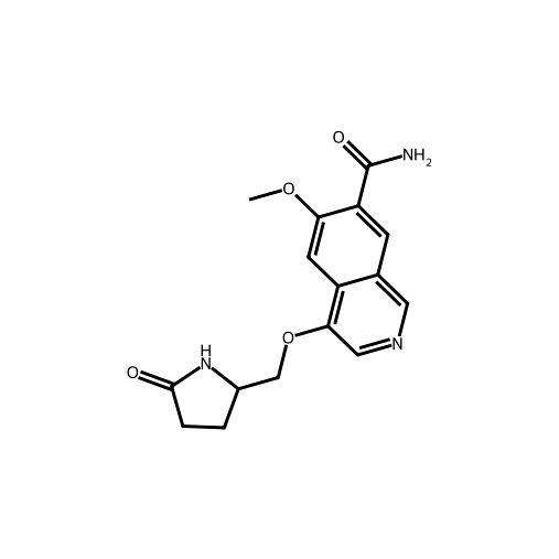 COc1cc2c(OCC3CCC(=O)N3)cncc2cc1C(N)=O